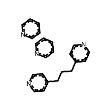 c1cc(CCCc2ccncc2)ccn1.c1ccncc1.c1ccncc1